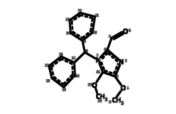 COc1nc(C=O)n(C(c2ccccc2)c2ccccc2)c1OC